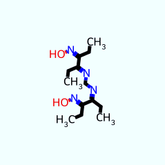 CCC(=NO)C(CC)=NCN=C(CC)C(CC)=NO